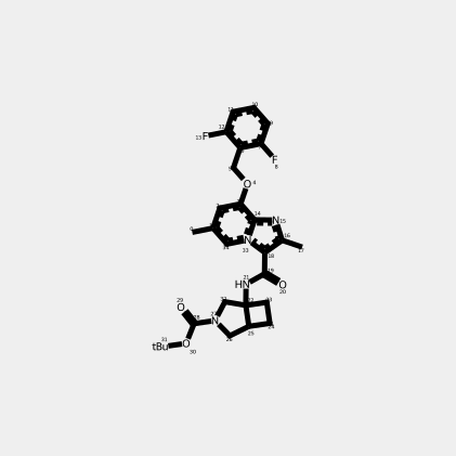 Cc1cc(OCc2c(F)cccc2F)c2nc(C)c(C(=O)NC34CCC3CN(C(=O)OC(C)(C)C)C4)n2c1